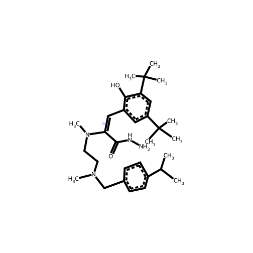 CC(C)c1ccc(CN(C)CCN(C)/C(=C/c2cc(C(C)(C)C)cc(C(C)(C)C)c2O)C(=O)NN)cc1